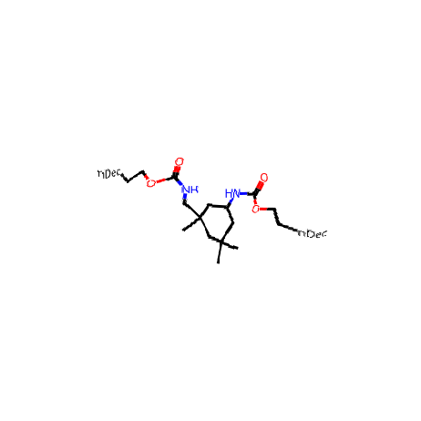 CCCCCCCCCCCCOC(=O)NCC1(C)CC(NC(=O)OCCCCCCCCCCCC)CC(C)(C)C1